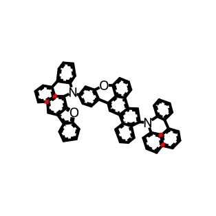 c1ccc(-c2ccccc2N(c2ccccc2)c2cc3c4cccc5c4c(cc3c3ccccc23)-c2ccc(N(c3ccccc3-c3ccccc3)c3cccc4c3oc3ccccc34)cc2O5)cc1